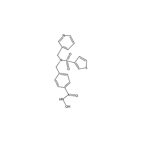 O=C(NO)c1ccc(CN(Cc2cccnc2)S(=O)(=O)c2ccsc2)cc1